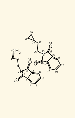 C=CCCN1C(=O)c2ccccc2C1=O.O=C1c2ccccc2C(=O)N1CCC1CC1